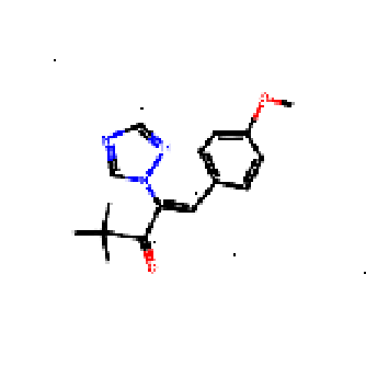 COc1ccc(/C=C(/C(=O)C(C)(C)C)n2cncn2)cc1